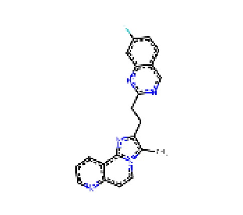 Cc1c(CCc2ncc3ccc(F)cc3n2)nc2c3cccnc3ccn12